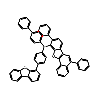 c1ccc(-c2ccc(N(c3ccc(-c4cccc5c4oc4ccccc45)cc3)c3c(-c4ccccc4)ccc4c3oc3c5ccccc5c(-c5ccccc5)cc43)cc2)cc1